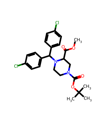 COC(=O)C1CN(C(=O)OC(C)(C)C)CCN1C(c1ccc(Cl)cc1)c1ccc(Cl)cc1